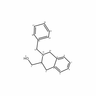 OCC1Cc2ccccc2CN1Cc1ccccc1